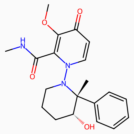 CNC(=O)c1c(OC)c(=O)ccn1N1CCC[C@@H](O)[C@@]1(C)c1ccccc1